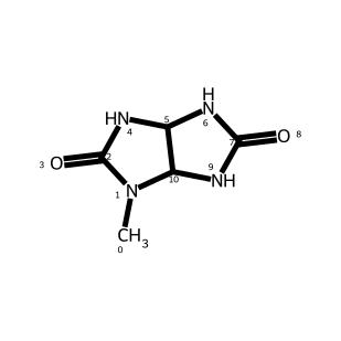 CN1C(=O)NC2NC(=O)NC21